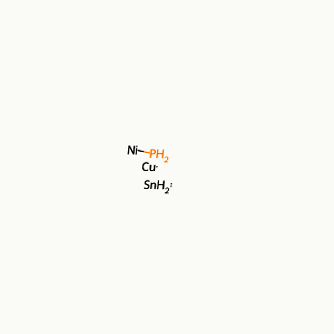 [Cu].[PH2][Ni].[SnH2]